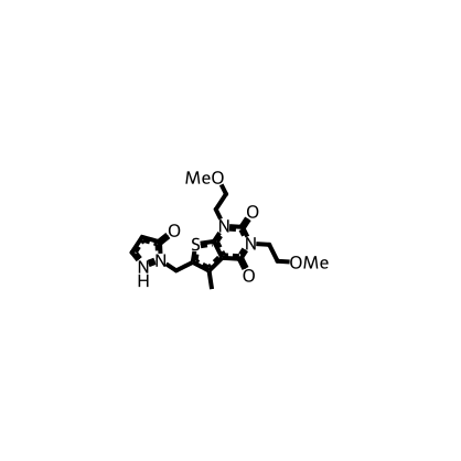 COCCn1c(=O)c2c(C)c(Cn3[nH]ccc3=O)sc2n(CCOC)c1=O